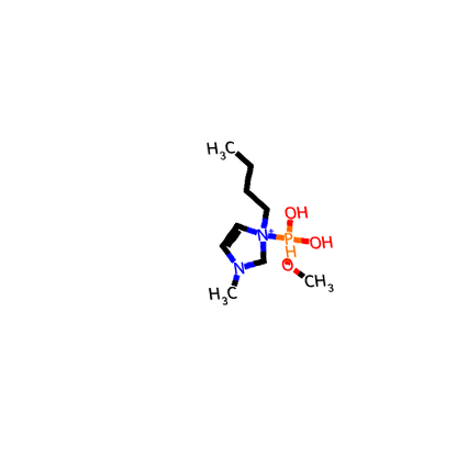 CCCC[N+]1([PH](O)(O)OC)C=CN(C)C1